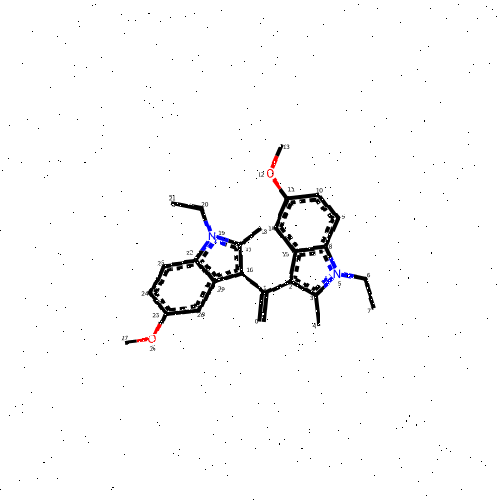 C=C(c1c(C)n(CC)c2ccc(OC)cc12)c1c(C)n(CC)c2ccc(OC)cc12